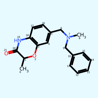 CC1Oc2cc(CN(C)Cc3ccccc3)ccc2NC1=O